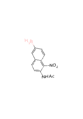 Bc1ccc2c([N+](=O)[O-])c(NC(C)=O)ccc2c1